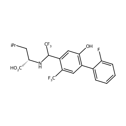 CC(C)C[C@H](NC(c1cc(O)c(-c2ccccc2F)cc1C(F)(F)F)C(F)(F)F)C(=O)O